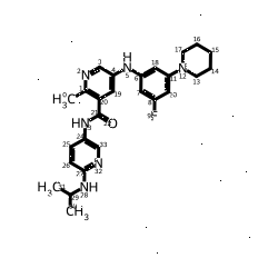 Cc1ncc(Nc2cc(F)cc(N3CCCCC3)c2)cc1C(=O)Nc1ccc(NC(C)C)nc1